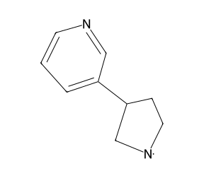 c1cncc(C2CC[N]C2)c1